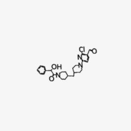 O=Cc1ccc(N2CCC(CC3CCN(C(=O)[C@H](O)c4ccccc4)CC3)CC2)nc1Cl